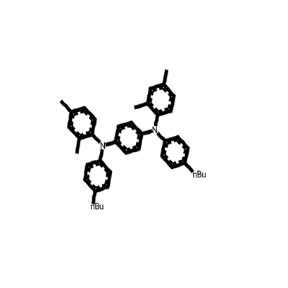 CCCCc1ccc(N(c2ccc(N(c3ccc(CCCC)cc3)c3ccc(C)cc3C)cc2)c2ccc(C)cc2C)cc1